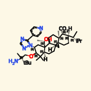 CC(C)[C@@H](C)[C@@]1(C)CC[C@]2(C)[C@H]3CC[C@H]4C(C)(C)[C@@H](OC[C@](C)(N)C(C)(C)C)[C@H](n5ncnc5-c5ccncc5)CC4([C@H](C)O)C3=CC[C@@]2(C)[C@@H]1C(=O)O